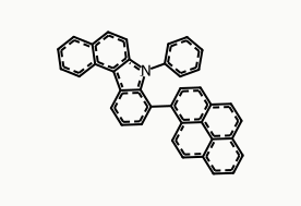 c1ccc(-n2c3ccc4ccccc4c3c3cccc(-c4ccc5ccc6cccc7ccc4c5c67)c32)cc1